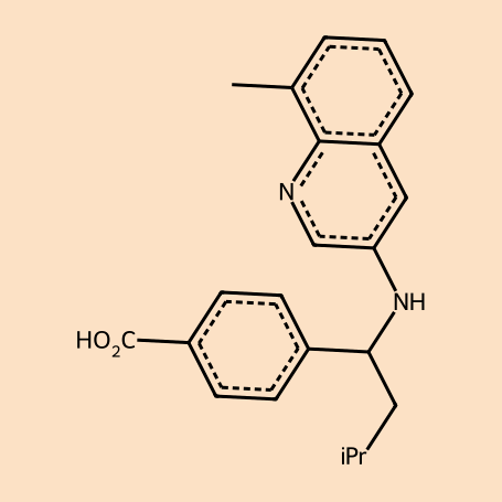 Cc1cccc2cc(NC(CC(C)C)c3ccc(C(=O)O)cc3)cnc12